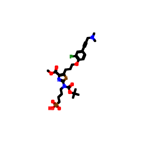 COC(=O)c1nc(N(CCCCS(=O)(=O)O)C(=O)OC(C)(C)C)sc1CCCOc1ccc(C#CCN(C)C)cc1F